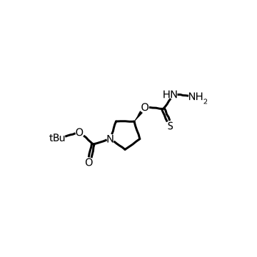 CC(C)(C)OC(=O)N1CC[C@H](OC(=S)NN)C1